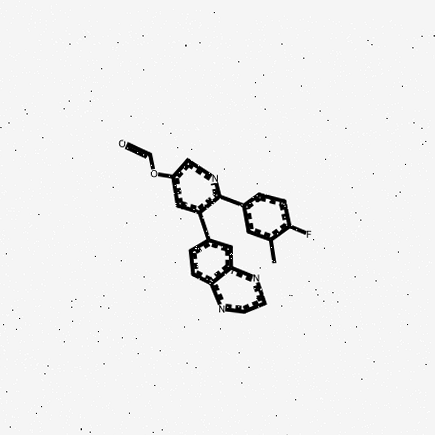 Cc1cc(-c2ncc(OC=O)cc2-c2ccc3nccnc3c2)ccc1F